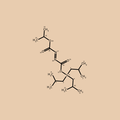 CC(C)C[Si](CC(C)C)(CC(C)C)OC(=O)N=NC(=O)OC(C)C